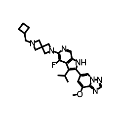 COc1cc(-c2[nH]c3cnc(N4CC5(CN(CC6CCC6)C5)C4)c(F)c3c2C(C)C)cn2ncnc12